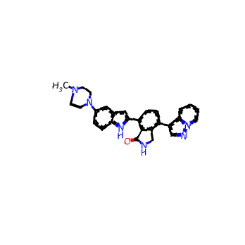 CN1CCN(c2ccc3[nH]c(-c4ccc(-c5cnn6ccccc56)c5c4C(=O)NC5)cc3c2)CC1